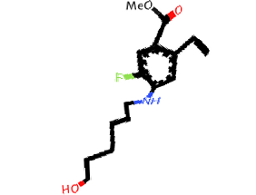 C=Cc1cc(NCCCCCCO)c(F)cc1C(=O)OC